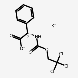 O=C([O-])[C@@H](NC(=S)OCC(Cl)(Cl)Cl)c1ccccc1.[K+]